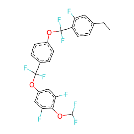 CCc1ccc(C(F)(F)Oc2ccc(C(F)(F)Oc3cc(F)c(OC(F)F)c(F)c3)cc2)c(F)c1